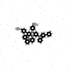 CC(C)(C)c1ccc(-c2cc3c4c(c2)S(c2ccccc2)(c2ccccc2)c2ccccc2B4c2cc(-n4c5ccccc5c5cc(-c6ccccc6)ccc54)ccc2N3c2ccc(C(C)(C)C)cc2)cc1